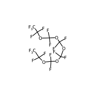 FC(F)(OC(F)(F)OC(F)(F)OC(F)(F)C(F)(F)F)OC(F)(F)OC(F)(F)C(F)(F)F